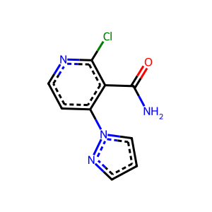 NC(=O)c1c(-n2cccn2)ccnc1Cl